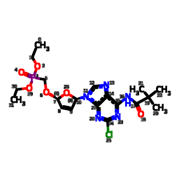 CCOP(=O)(CO[C@@H]1C=C[C@H](n2cnc3c(NC(=O)C(C)(C)C)nc(Cl)nc32)O1)OCC